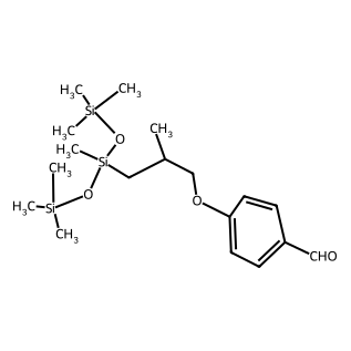 CC(COc1ccc(C=O)cc1)C[Si](C)(O[Si](C)(C)C)O[Si](C)(C)C